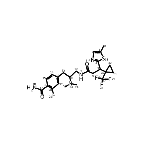 Cc1cnc(C(CC(=O)NCC(Cc2ccc(C(N)=O)c(F)c2)N(C)C)C2(C(F)(F)F)CC2)s1